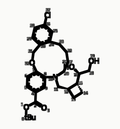 CC(C)(C)OC(=O)c1ccc2c(c1)N(C[C@@H]1CC[C@H]1[C@@H](O)CO)CCCCc1cc(Cl)ccc1CO2